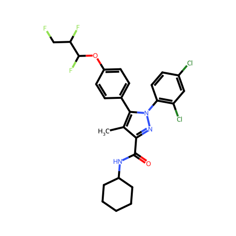 Cc1c(C(=O)NC2CCCCC2)nn(-c2ccc(Cl)cc2Cl)c1-c1ccc(OC(F)C(F)CF)cc1